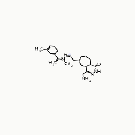 C=C(C1=CC(C)=CCC1)N(C)/N=C\CC1CCCC2C(=O)NN=C(CN)C2C1